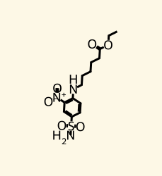 CCOC(=O)CCCCCNc1ccc(S(N)(=O)=O)cc1[N+](=O)[O-]